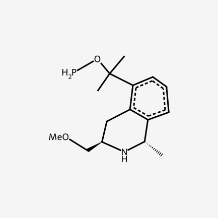 COC[C@H]1Cc2c(cccc2C(C)(C)OP)[C@H](C)N1